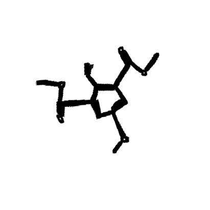 COC(=O)c1cc(OC)cc(C(=O)OC)c1Br